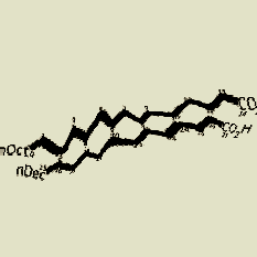 CCCCCCCCC=CCCCCCCCCCCCC(=O)O.CCCCCCCCCCCCCCCCCC=CC=CC(=O)O